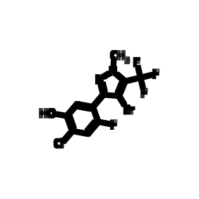 Cn1nc(-c2cc(O)c(Cl)cc2F)c(Br)c1C(F)(F)F